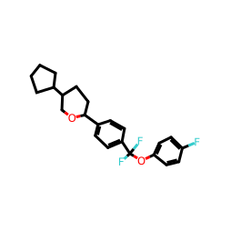 Fc1ccc(OC(F)(F)c2ccc(C3CCC(C4CCCC4)CO3)cc2)cc1